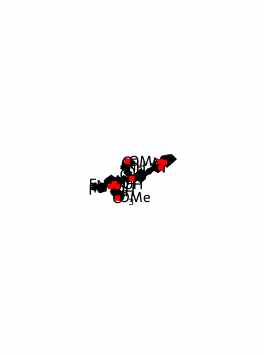 COC(=O)N[C@H](C(=O)N[C@@H](Cc1ccc(C#Cc2cnc(N3CC4CCC(C3)N4C3COC3)nc2)cc1)[C@@H](O)CN(Cc1ccc(-c2ccn(C(F)F)n2)cc1F)NC(=O)[C@@H](NC(=O)OC)C(C)(C)C(F)(F)F)C(C)(C)C(F)(F)F